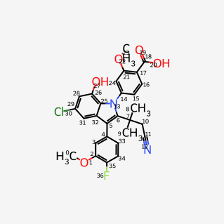 COc1cc(-c2c(C(C)(C)CC#N)n(-c3ccc(C(=O)O)c(OC)c3)c3c(O)cc(Cl)cc23)ccc1F